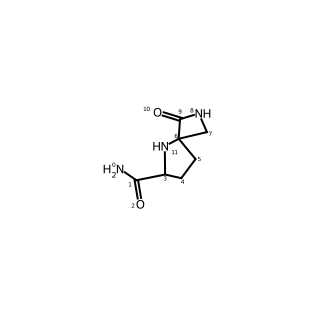 NC(=O)C1CCC2(CNC2=O)N1